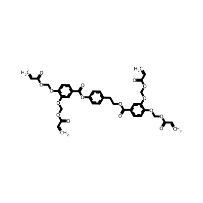 C=CC(=O)OCOc1ccc(C(=O)OCCc2ccc(OC(=O)c3ccc(OCOC(=O)C=C)c(OCOC(=O)C=C)c3)cc2)cc1OCOC(=O)C=C